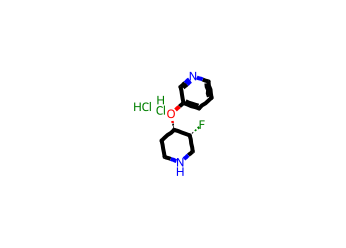 Cl.Cl.F[C@@H]1CNCC[C@@H]1Oc1cccnc1